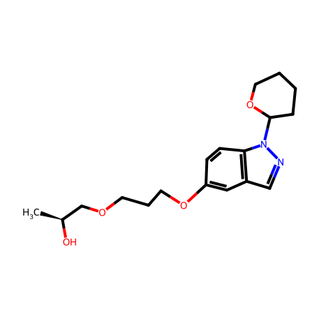 C[C@H](O)COCCCOc1ccc2c(cnn2C2CCCCO2)c1